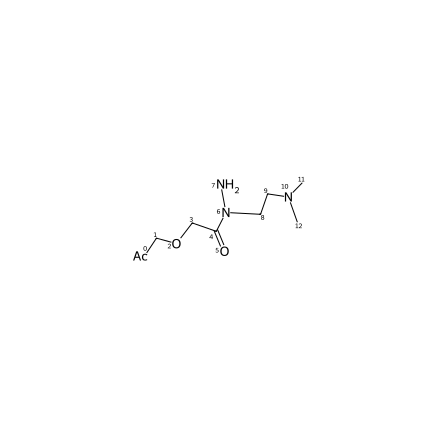 CC(=O)COCC(=O)N(N)CCN(C)C